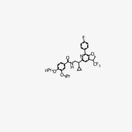 CCCOc1ccc(C(=O)NCC(c2cc3c(c(-c4ccc(F)cc4)n2)OCC3C(F)(F)F)C2CC2)cc1OC(C)C